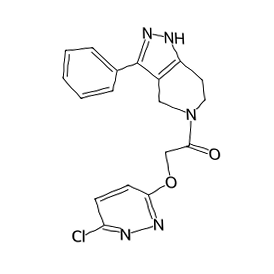 O=C(COc1ccc(Cl)nn1)N1CCc2[nH]nc(-c3ccccc3)c2C1